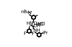 CCCCN(C)Cc1cc(C)cc(C(=O)N[C@@H](Cc2cc(F)cc(F)c2)[C@H](O)CNCc2cccc(C(C)C)c2)c1.Cl.Cl